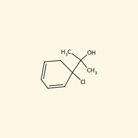 CC(C)(O)C1(Cl)C=CC=CC1